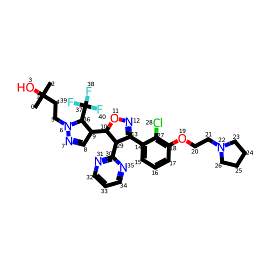 CC(C)(O)CCN1N=CC(C2ON=C(c3cccc(OCCN4CCCC4)c3Cl)C2c2ncccn2)C1C(F)(F)F